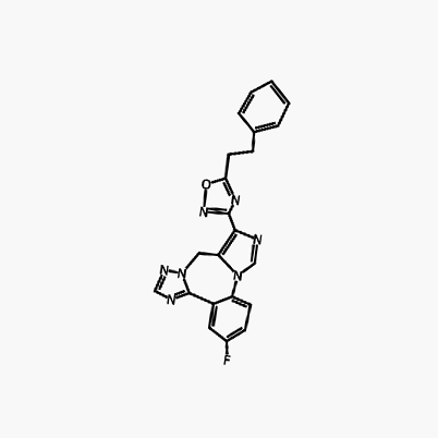 Fc1ccc2c(c1)-c1ncnn1Cc1c(-c3noc(CCc4ccccc4)n3)ncn1-2